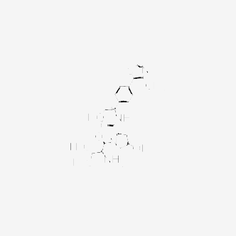 Cc1ncsc1-c1ccc([C@H](CO)NC(=O)[C@@H]2C[C@@H](O)CN2C(=O)[C@@H](N)C(C)C)cc1